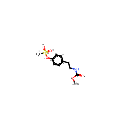 CC(C)(C)OC(=O)NCCc1ccc(OS(=O)(=O)C(F)(F)F)cc1